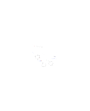 CNC(=O)[C@@H]1CCN(Cc2cc(C#N)c3oc(-c4cccc(-c5cccc(-n6cc7c(n6)CN(C(C)C)CC7)c5Cl)c4C)nc3c2)C1